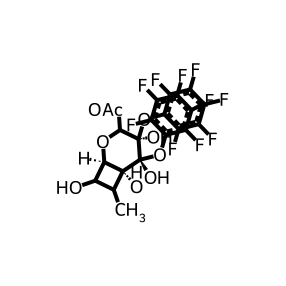 CC(=O)OC1O[C@@H]2C(O)C(C)[C@]2(O)[C@@](O)(Oc2c(F)c(F)c(F)c(F)c2F)[C@]1(O)Oc1c(F)c(F)c(F)c(F)c1F